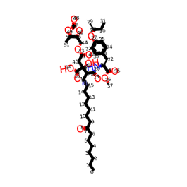 CCCCCCCC(=O)CCCCCC/C=C/C(C(=O)N[C@@H](Cc1ccc(O[C@@H](C)CC)cc1)C(=O)OC)[C@@](O)(CC(=O)OCc1oc(=O)oc1C)C(=O)O